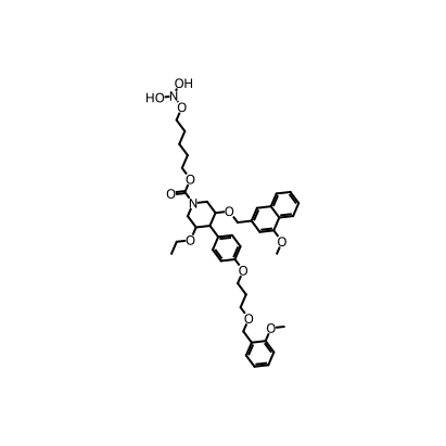 CCOC1CN(C(=O)OCCCCCON(O)O)CC(OCc2cc(OC)c3ccccc3c2)C1c1ccc(OCCCOCc2ccccc2OC)cc1